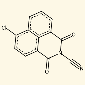 N#CN1C(=O)c2cccc3c(Cl)ccc(c23)C1=O